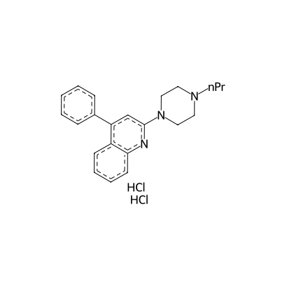 CCCN1CCN(c2cc(-c3ccccc3)c3ccccc3n2)CC1.Cl.Cl